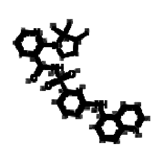 CC1CCN(c2ncccc2C(=O)NS(=O)(=O)c2cccc(Nc3cccc4ncccc34)n2)C1(C)C